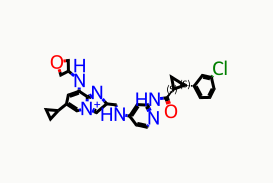 O=C(Nc1cc(NCC2C=[n+]3cc(C4CC4)cc(NC4COC4)c3=N2)ccn1)[C@H]1C[C@@H]1c1cccc(Cl)c1